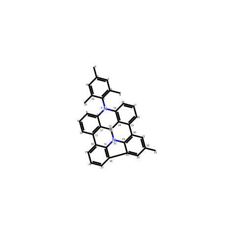 Cc1cc(C)c(N2c3cccc4c3B3c5c(cccc52)-c2cc(C)cc5c6cccc-4c6n3c25)c(C)c1